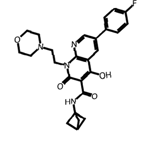 O=C(NC12CC(C1)C2)c1c(O)c2cc(-c3ccc(F)cc3)cnc2n(CCN2CCOCC2)c1=O